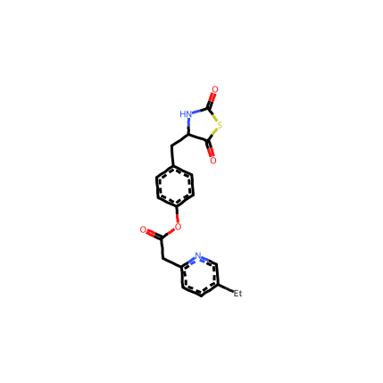 CCc1ccc(CC(=O)Oc2ccc(CC3NC(=O)SC3=O)cc2)nc1